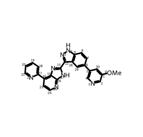 COc1cncc(-c2ccc3[nH]nc(-c4nc5c(-c6ccccn6)ccnc5[nH]4)c3c2)c1